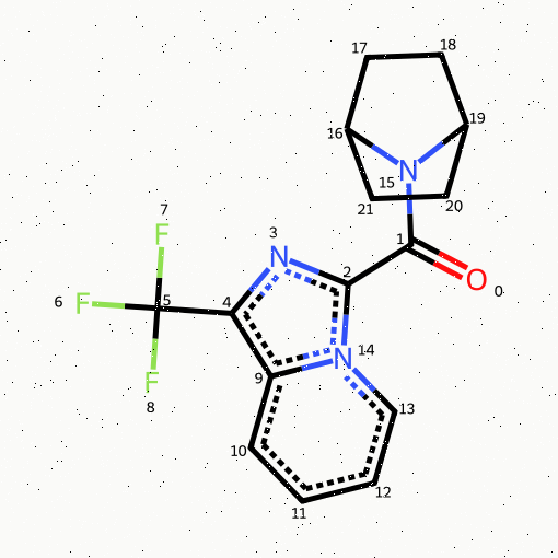 O=C(c1nc(C(F)(F)F)c2ccccn12)N1C2CCC1CC2